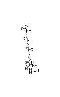 CCC(C)(C)C(=O)NCCC(=O)NCCNC(=O)CCCC[C@@H]1SC[C@@H]2NC(O)N[C@@H]21